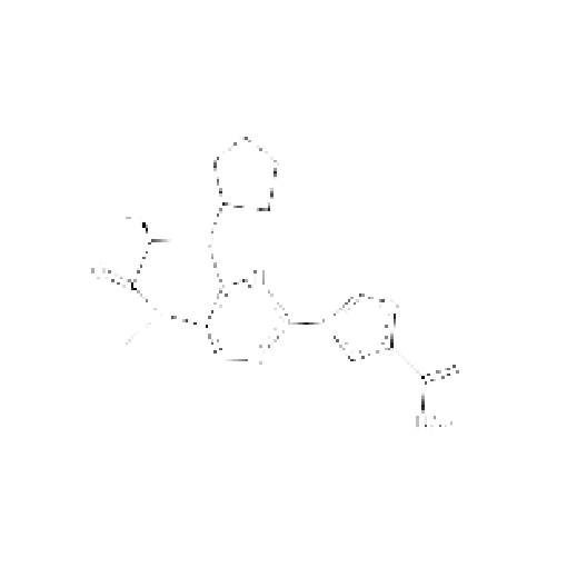 CC[C@@H]1C(=O)N(C)c2cnc(-n3cnc(C(=O)NC)c3)nc2N1C1CCCC1